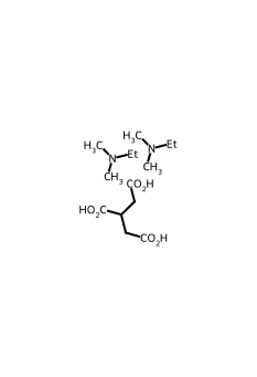 CCN(C)C.CCN(C)C.O=C(O)CC(CC(=O)O)C(=O)O